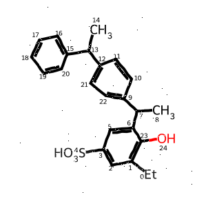 CCc1cc(S(=O)(=O)O)cc(C(C)c2ccc(C(C)c3ccccc3)cc2)c1O